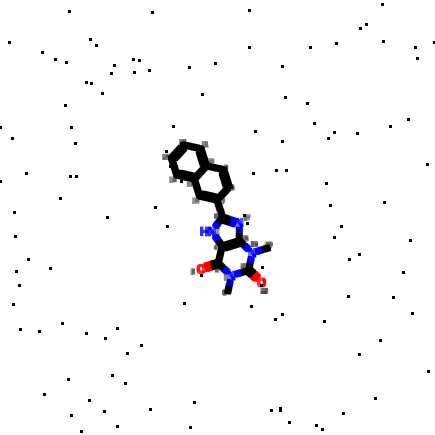 Cn1c(=O)c2[nH]c(-c3ccc4ccccc4c3)nc2n(C)c1=O